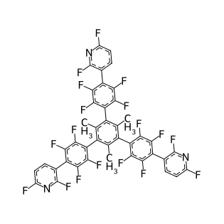 Cc1c(-c2c(F)c(F)c(-c3ccc(F)nc3F)c(F)c2F)c(C)c(-c2c(F)c(F)c(-c3ccc(F)nc3F)c(F)c2F)c(C)c1-c1c(F)c(F)c(-c2ccc(F)nc2F)c(F)c1F